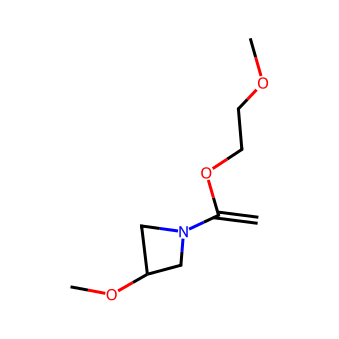 C=C(OCCOC)N1CC(OC)C1